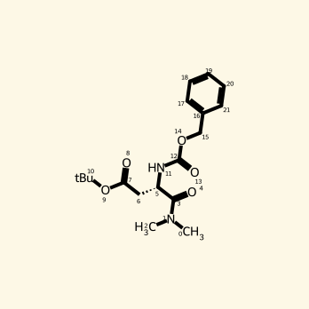 CN(C)C(=O)[C@H](CC(=O)OC(C)(C)C)NC(=O)OCc1ccccc1